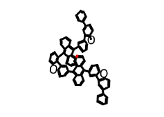 c1ccc(-c2ccc3oc4ccc(-c5c6ccccc6c(-c6ccc7oc8cccc(-c9c%10ccccc%10c(-c%10ccc%11oc%12ccc(-c%13ccccc%13)cc%12c%11c%10)c%10ccccc9%10)c8c7c6)c6ccccc56)cc4c3c2)cc1